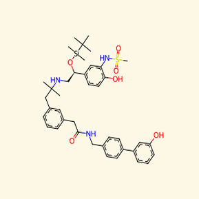 CC(C)(Cc1cccc(CC(=O)NCc2ccc(-c3cccc(O)c3)cc2)c1)NC[C@@H](O[Si](C)(C)C(C)(C)C)c1ccc(O)c(NS(C)(=O)=O)c1